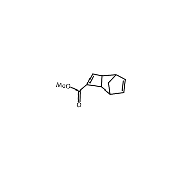 COC(=O)C1=CC2C3C=CC(C3)C12